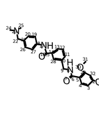 COc1ccc(C(=O)NCc2cccc(C(=O)Nc3ccc(CN(C)C)cc3)c2)c(OC)c1